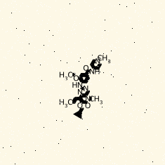 C/C=C/c1c(OCC2CC2)c(=O)n(C)c2cnc(Nc3ccc(C(=O)NC4CCN(C)CC4)cc3OCC)nc12